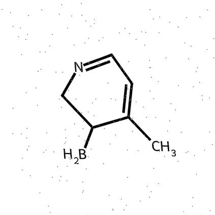 BC1CN=CC=C1C